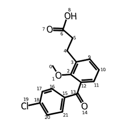 COc1c(CCC(=O)O)cccc1C(=O)c1ccc(Cl)cc1